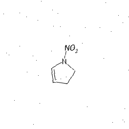 O=[N+]([O-])N1C=CCC1